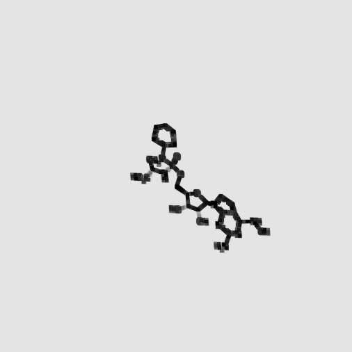 C[C@H](N[P@](=O)(OC[C@H]1O[C@@H](n2ccc3c(NO)nc(N)nc32)[C@H](O)[C@@H]1O)Oc1ccccc1)C(=O)O